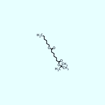 [CH2]CCCCCOC(=O)CCCCCC(=O)OC(C)(C)C